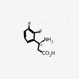 N[C@@H](CC(=O)O)c1cccc(F)c1F